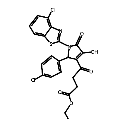 CCOC(=O)CCC(=O)C1=C(O)C(=O)N(c2nc3c(Cl)cccc3s2)C1c1ccc(Cl)cc1